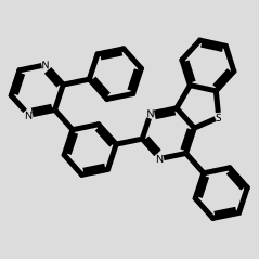 c1ccc(-c2nccnc2-c2cccc(-c3nc(-c4ccccc4)c4sc5ccccc5c4n3)c2)cc1